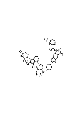 CN(C[C@H]1CC[C@H](n2cc3cc(NC(=O)c4cccc(C(F)(F)F)n4)c(C(F)F)cc3n2)CC1)C1CCN(c2cccc3c2n(C)c(=O)n3C2CCC(=O)NC2O)CC1F